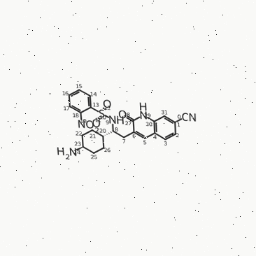 N#Cc1ccc2cc(CC(NS(=O)(=O)c3ccccc3[N+](=O)[O-])[C@H]3CC[C@H](N)CC3)c(=O)[nH]c2c1